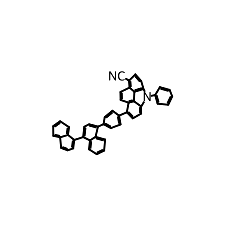 N#Cc1ccc2c3c1ccc1c(-c4ccc(-c5ccc(-c6cccc7ccccc67)c6ccccc56)cc4)ccc(c13)n2-c1ccccc1